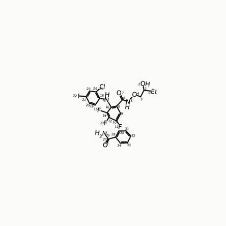 CCC(O)CONC(=O)c1cc(F)c(F)c(F)c1Nc1ccc(I)cc1Cl.NC(=O)c1ccccc1